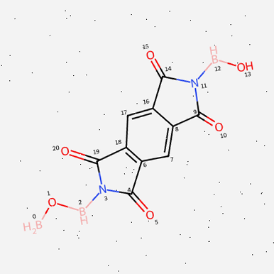 BOBn1c(=O)c2cc3c(=O)n(BO)c(=O)c3cc2c1=O